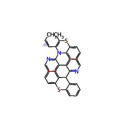 C/C=C\C1=C(C)Sc2ccccc2N1c1ncccc1-c1cccnc1C1c2ccccc2Sc2ccccc21